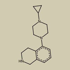 c1cc2c(c(N3CCN(C4CC4)CC3)c1)CCNC2